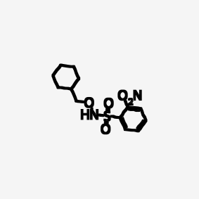 O=[N+]([O-])c1ccccc1S(=O)(=O)NOCC1CCCCC1